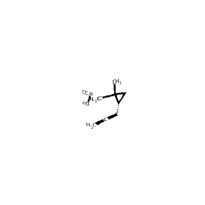 C=C=C[C@H]1CC1(C)C.O=C(O)O